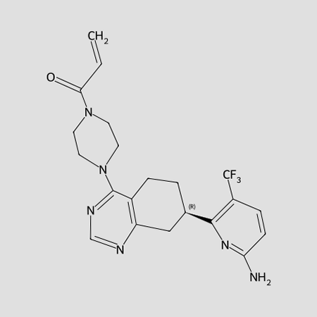 C=CC(=O)N1CCN(c2ncnc3c2CC[C@@H](c2nc(N)ccc2C(F)(F)F)C3)CC1